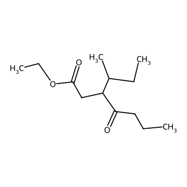 CCCC(=O)C(CC(=O)OCC)C(C)CC